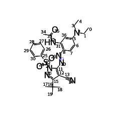 CCN(CC)c1ccc(/N=N/c2c(C#N)c(C(C)(C)C)nn2S(=O)(=O)c2ccccc2)c(NC(C)=O)c1